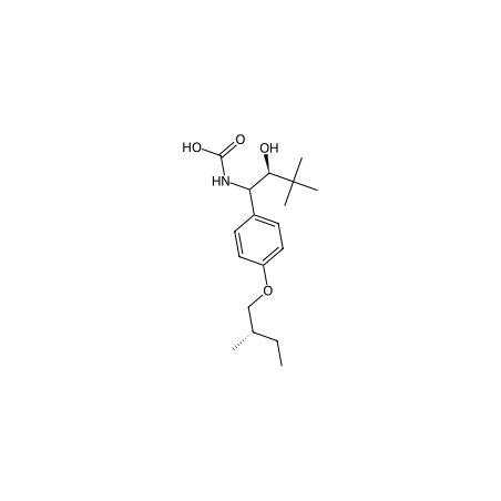 CC[C@H](C)COc1ccc(C(NC(=O)O)[C@@H](O)C(C)(C)C)cc1